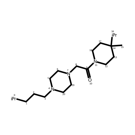 CC(C)CCCN1CCN(CC(=O)N2CCC(C)(C(C)C)CC2)CC1